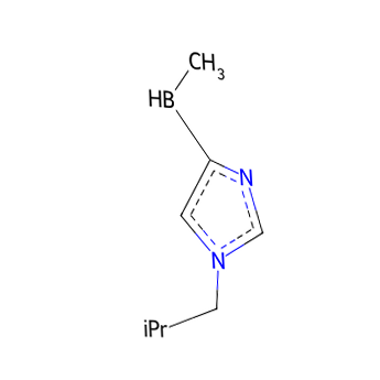 CBc1cn(CC(C)C)cn1